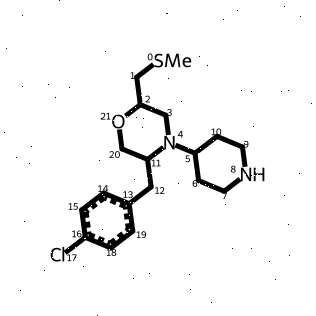 CSCC1CN(C2CCNCC2)C(Cc2ccc(Cl)cc2)CO1